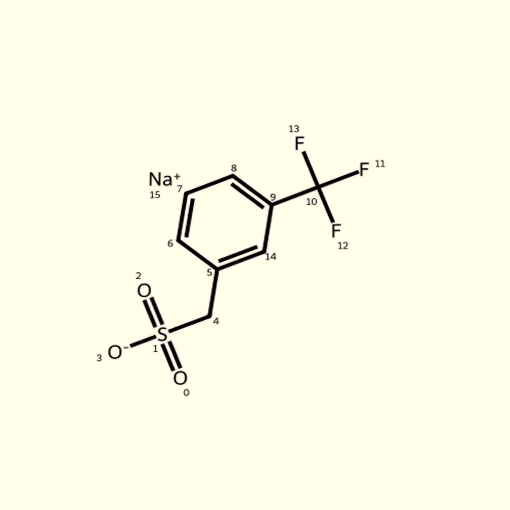 O=S(=O)([O-])Cc1cccc(C(F)(F)F)c1.[Na+]